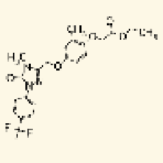 CCOC(=O)COc1ccc(OCc2nn(-c3ccc(C(F)(F)F)cc3)c(=O)n2C)cc1C